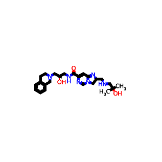 CC(C)(O)CNCC1CN2C=NC(C(=O)NC[C@H](O)CN3CCc4ccccc4C3)=CC2=N1